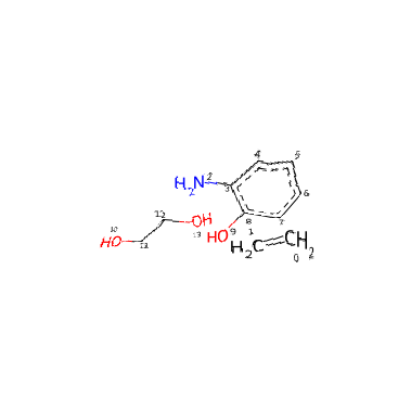 C=C.Nc1ccccc1O.OCCO